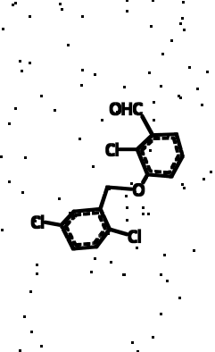 O=Cc1cccc(OCc2cc(Cl)ccc2Cl)c1Cl